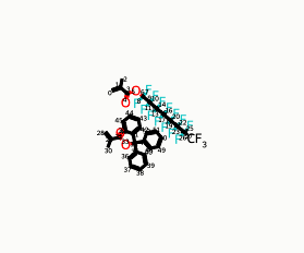 C=C(C)C(=O)OC(F)(F)C(F)(F)C(F)(F)C(F)(F)C(F)(F)C(F)(F)C(F)(F)C(F)(F)F.C=C(C)C(=O)OC(c1ccccc1)(c1ccccc1)c1ccccc1